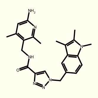 Cc1cc(N)nc(C)c1CNC(=O)c1cn(Cc2ccc3c(c2)c(C)c(C)n3C)nn1